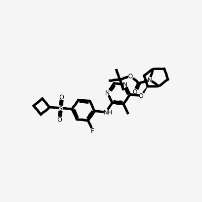 Cc1c(Nc2ccc(S(=O)(=O)C3CCC3)cc2F)ncnc1O[C@H]1CC2CCC1N2C(=O)OC(C)(C)C